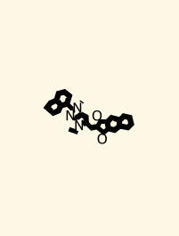 CCn1c(C=C2C(=O)c3cc4ccccc4cc3C2=O)cc2c1nc(-c1cccc3ccccc13)n2C